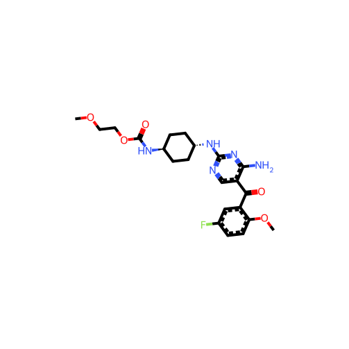 COCCOC(=O)N[C@H]1CC[C@H](Nc2ncc(C(=O)c3cc(F)ccc3OC)c(N)n2)CC1